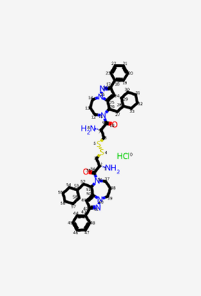 Cl.N[C@@H](CSSC[C@H](N)C(=O)N1CCCn2nc(-c3ccccc3)cc2C1CC1CCCCC1)C(=O)N1CCCn2nc(-c3ccccc3)cc2C1CC1CCCCC1